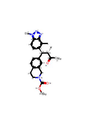 CCn1nnc2c(C)c([C@H](c3ccc4c(c3)CN(C(=O)OC(C)(C)C)CC4)[C@H](C)C(=O)OC)ccc21